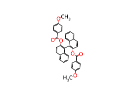 COc1ccc(C(=O)Oc2ccc3ccccc3c2-c2c(OC(=O)c3ccc(OC)cc3)ccc3ccccc23)cc1